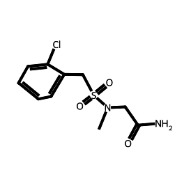 CN(CC(N)=O)S(=O)(=O)Cc1ccccc1Cl